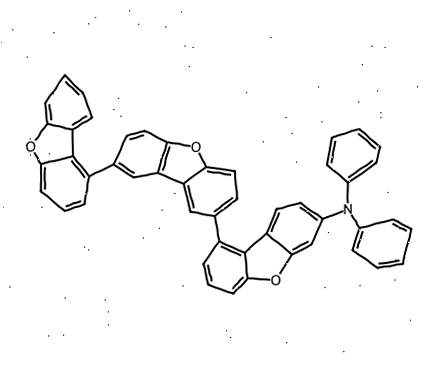 c1ccc(N(c2ccccc2)c2ccc3c(c2)oc2cccc(-c4ccc5oc6ccc(-c7cccc8oc9ccccc9c78)cc6c5c4)c23)cc1